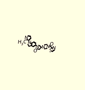 Cc1ncccc1N1CCc2cc(N3CC(N4CCN(C(=O)c5nccs5)CC4)CC3=O)ccc21